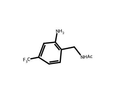 CC(=O)NCc1ccc(C(F)(F)F)cc1N